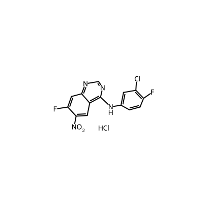 Cl.O=[N+]([O-])c1cc2c(Nc3ccc(F)c(Cl)c3)ncnc2cc1F